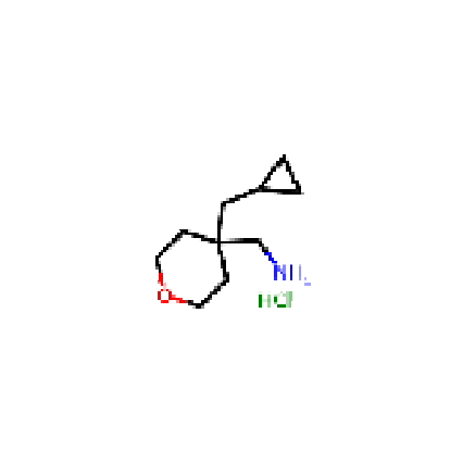 Cl.NCC1(CC2CC2)CCOCC1